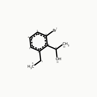 CCc1cccc(Br)c1C(C)O